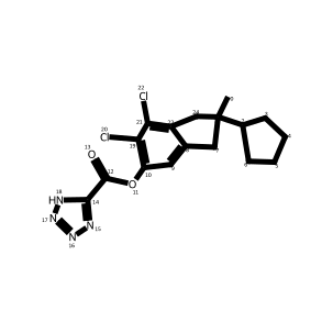 CC1(C2CCCC2)Cc2cc(OC(=O)c3nnn[nH]3)c(Cl)c(Cl)c2C1